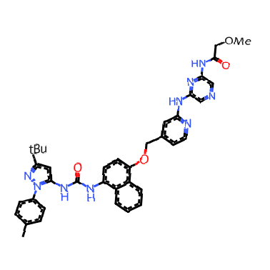 COCC(=O)Nc1cncc(Nc2cc(COc3ccc(NC(=O)Nc4cc(C(C)(C)C)nn4-c4ccc(C)cc4)c4ccccc34)ccn2)n1